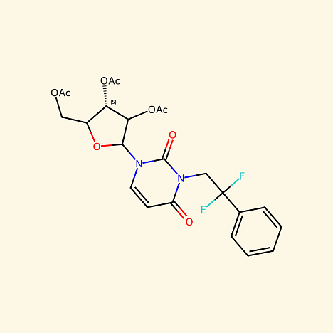 CC(=O)OCC1OC(n2ccc(=O)n(CC(F)(F)c3ccccc3)c2=O)C(OC(C)=O)[C@H]1OC(C)=O